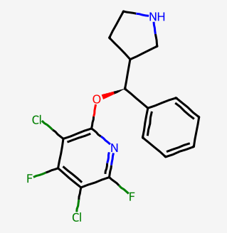 Fc1nc(O[C@H](c2ccccc2)C2CCNC2)c(Cl)c(F)c1Cl